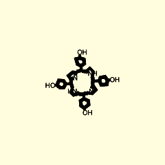 Oc1ccc(-c2c3nc(c(-c4ccc(O)cc4)c4ccc([nH]4)c(-c4ccc(O)cc4)c4nc(c(-c5ccc(O)cc5)c5[nH]c2CC5)C=C4)C=C3)cc1